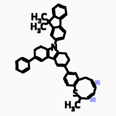 CC1/C=C\C=C/Cc2cc(C3=Cc4c5c(n(-c6ccc7c(c6)C(C)(C)c6ccccc6-7)c4CC3)CCC(c3ccccc3)=C5)ccc2S1